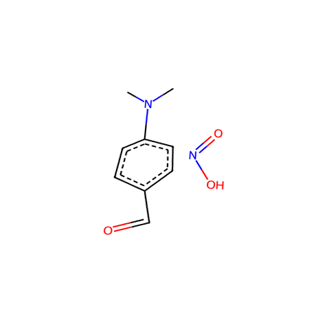 CN(C)c1ccc(C=O)cc1.O=NO